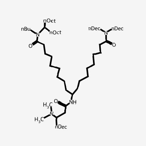 CCCCCCCCCCC(CC(=O)NC(CCCCCCCCC(=O)N(CCCCCCCCCC)CCCCCCCCCC)CCCCCCCCC(=O)N(CCCC)C(CCCCCCCC)CCCCCCCC)N(C)C